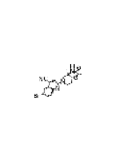 C[C@]1(NS(C)(=O)=O)CCCN(c2cc(C#N)c3cc(Br)ccc3n2)C1